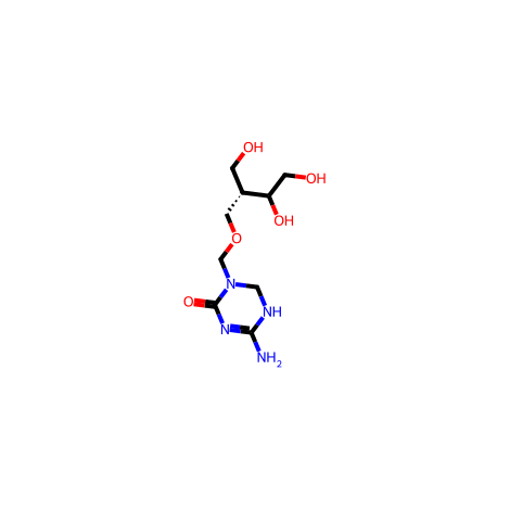 NC1=NC(=O)N(COC[C@H](CO)C(O)CO)CN1